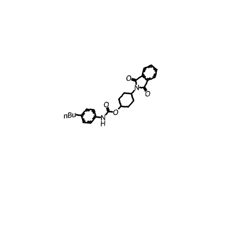 CCCCc1ccc(NC(=O)OC2CCC(N3C(=O)c4ccccc4C3=O)CC2)cc1